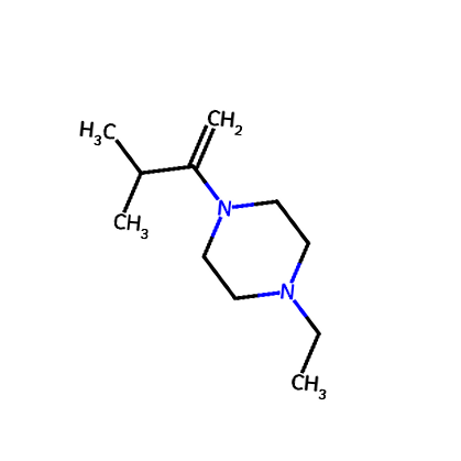 C=C(C(C)C)N1CCN(CC)CC1